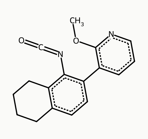 COc1ncccc1-c1ccc2c(c1N=C=O)CCCC2